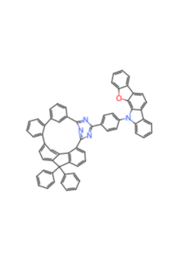 c1ccc(C2(c3ccccc3)c3ccc4cc3-c3c(cccc32)-c2nc(-c3ccc(-n5c6ccccc6c6ccc7c8ccccc8oc7c65)cc3)nc(n2)-c2cccc(c2)-c2ccccc2-4)cc1